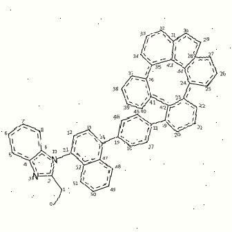 CCc1nc2ccccc2n1-c1ccc(-c2ccc(-c3cccc4c5cccc6ccc7cccc(c8ccccc8c34)c7c65)cc2)c2ccccc12